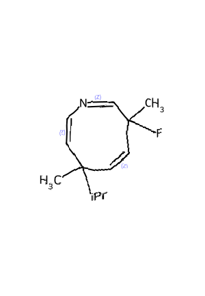 CC(C)C1(C)/C=C\N=C/C(C)(F)/C=C\1